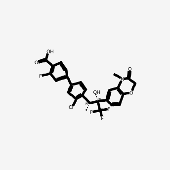 C[C@H](c1ccc(-c2ccc(C(=O)O)c(F)c2)cc1Cl)[C@@](O)(c1ccc2c(c1)N(C)C(=O)CO2)C(F)(F)F